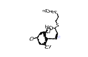 CCCCCCCCCCCCSC(O)/C=C\c1c(Cl)cc(Cl)cc1Cl